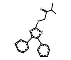 CC(C)C(=O)CSc1nc(-c2ccccc2)c(-c2ccccc2)o1